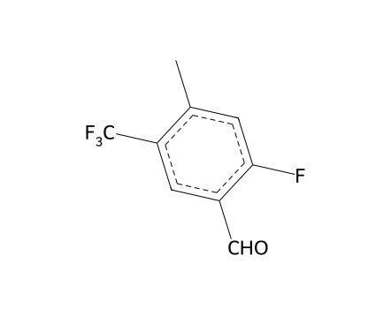 Cc1cc(F)c(C=O)cc1C(F)(F)F